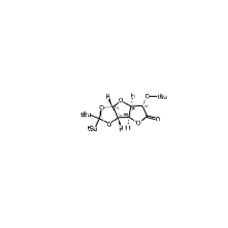 CC(C)(C)O[C@@H]1C(=O)O[C@H]2[C@@H]3OC(C(C)(C)C)(C(C)(C)C)O[C@@H]3O[C@H]21